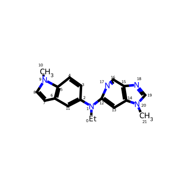 CCN(c1ccc2c(ccn2C)c1)c1cc2c(cn1)ncn2C